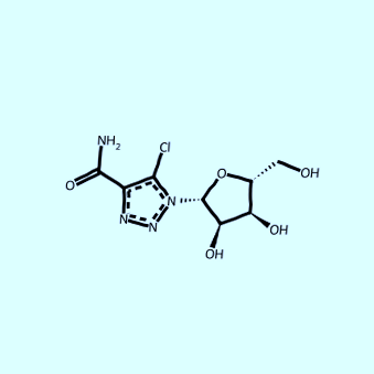 NC(=O)c1nnn([C@@H]2O[C@H](CO)[C@@H](O)[C@H]2O)c1Cl